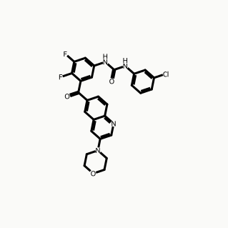 O=C(Nc1cccc(Cl)c1)Nc1cc(F)c(F)c(C(=O)c2ccc3ncc(N4CCOCC4)cc3c2)c1